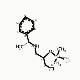 C[C@@H](NCC(CCl)O[Si](C)(C)C)c1ccccc1